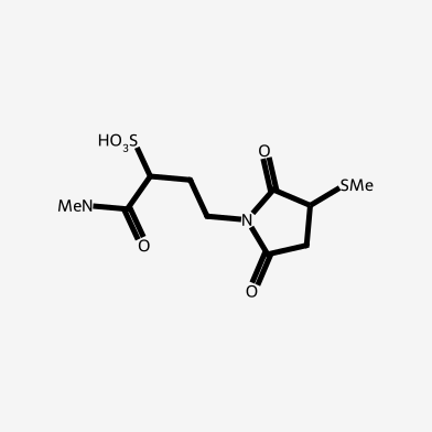 CNC(=O)C(CCN1C(=O)CC(SC)C1=O)S(=O)(=O)O